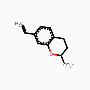 C=Cc1ccc2c(c1)OC(C(=O)O)CC2